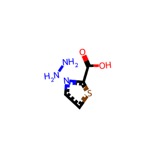 NN.O=C(O)c1nccs1